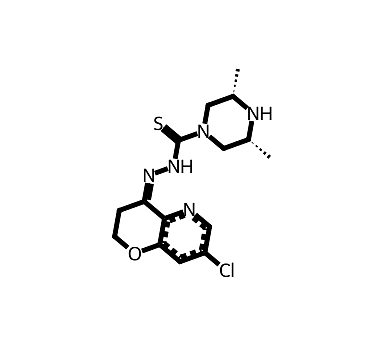 C[C@@H]1CN(C(=S)N/N=C2/CCOc3cc(Cl)cnc32)C[C@H](C)N1